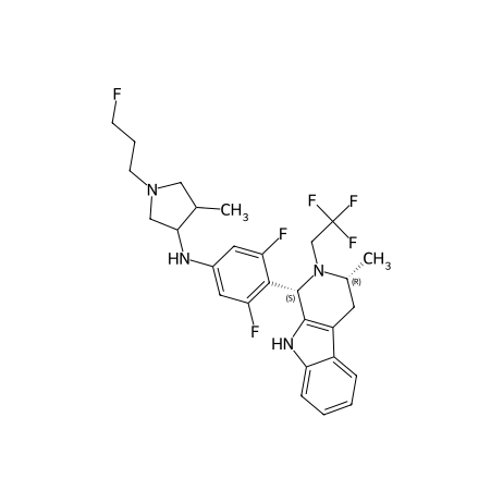 CC1CN(CCCF)CC1Nc1cc(F)c([C@H]2c3[nH]c4ccccc4c3C[C@@H](C)N2CC(F)(F)F)c(F)c1